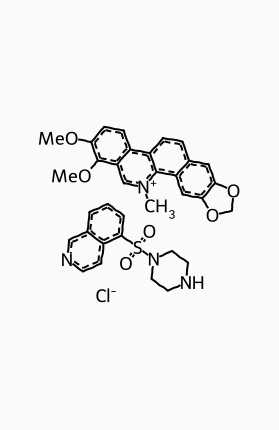 COc1ccc2c(c[n+](C)c3c4cc5c(cc4ccc23)OCO5)c1OC.O=S(=O)(c1cccc2cnccc12)N1CCNCC1.[Cl-]